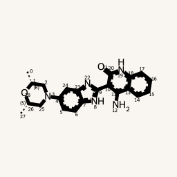 C[C@@H]1CN(c2ccc3[nH]c(-c4c(N)c5ccccc5[nH]c4=O)nc3c2)C[C@H](C)O1